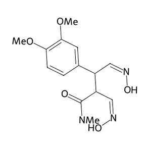 CNC(=O)C(/C=N\O)C(/C=N\O)c1ccc(OC)c(OC)c1